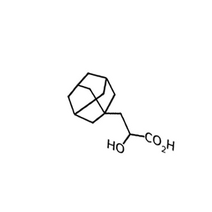 O=C(O)C(O)CC12CC3CC(CC(C3)C1)C2